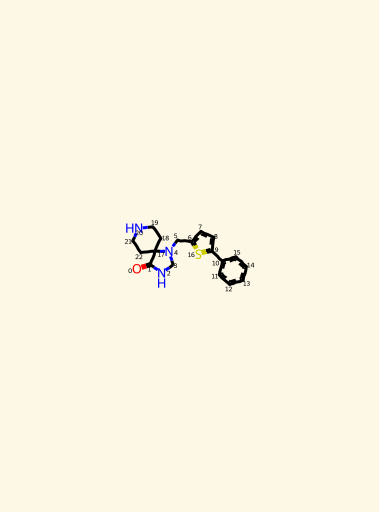 O=C1NCN(Cc2ccc(-c3ccccc3)s2)C12CCNCC2